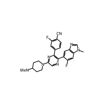 CNC1CCN(c2cnc(-c3cc4ncn(C)c4cc3F)c(-c3ccc(C#N)c(F)c3)n2)CC1